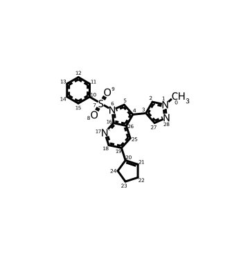 Cn1cc(-c2cn(S(=O)(=O)c3ccccc3)c3ncc(C4=CCCC4)cc23)cn1